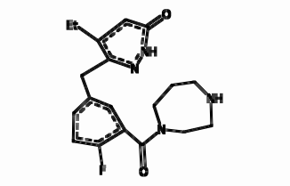 CCc1cc(=O)[nH]nc1Cc1ccc(F)c(C(=O)N2CCCNCC2)c1